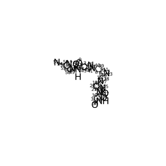 COc1cc2nn([C@H]3CC[C@H](CN(C)C4CCN(c5cccc6c5n(C)c(=O)n6C5CCC(=O)NC5=O)CC4)CC3)cc2cc1NC(=O)n1ccc2cc(C#N)cnc21